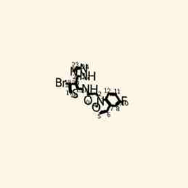 O=C(CN1OC=Cc2cc(F)ccc21)Nc1scc(Br)c1-c1ncn[nH]1